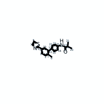 Cc1ccc(-c2nccs2)cc1-c1ccc(NC(=O)C(C)C)cc1